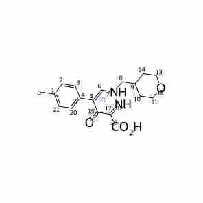 Cc1ccc(/C(=C/NCC2CCOCC2)C(=O)C(=N)C(=O)O)cc1